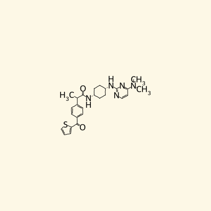 CC(C(=O)N[C@H]1CC[C@@H](Nc2nccc(N(C)C)n2)CC1)c1ccc(C(=O)c2cccs2)cc1